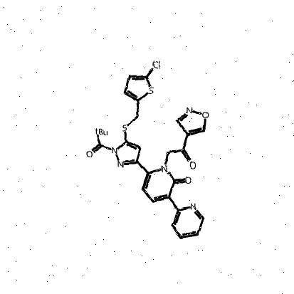 CC(C)(C)C(=O)n1nc(-c2ccc(-c3ccccn3)c(=O)n2CC(=O)c2cnoc2)cc1SCc1ccc(Cl)s1